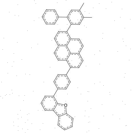 Cc1cc(-c2ccccc2)c(-c2ccc3ccc4c(-c5ccc(-c6cccc7c6oc6ccccc67)cc5)ccc5ccc2c3c54)cc1C